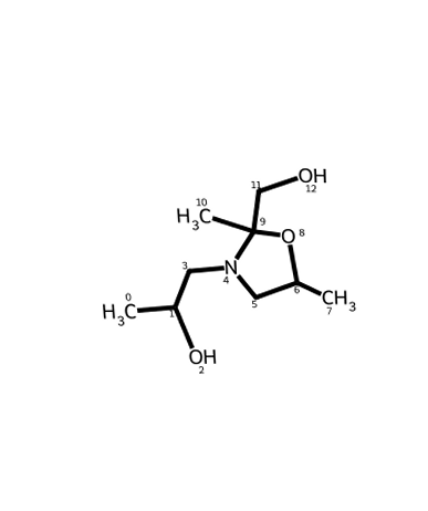 CC(O)CN1CC(C)OC1(C)CO